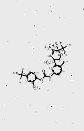 C[C@@]1(c2nc(NC(=O)Oc3ncc(C(F)(F)F)nc3N)ccc2F)CO[C@@](C)(C(F)(F)F)C(N)=N1